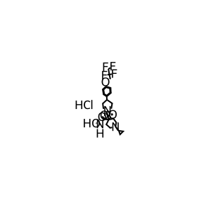 Cl.O=C(NO)C1(S(=O)(=O)N2CCC(c3ccc(OCC(F)(F)C(F)F)cc3)CC2)CCN(C2CC2)CC1